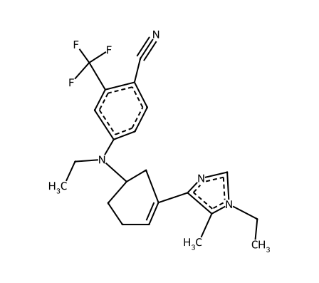 CCN(c1ccc(C#N)c(C(F)(F)F)c1)C1CCC=C(c2ncn(CC)c2C)C1